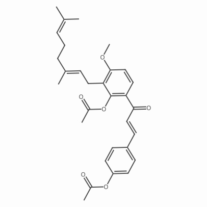 COc1ccc(C(=O)C=Cc2ccc(OC(C)=O)cc2)c(OC(C)=O)c1C/C=C(\C)CCC=C(C)C